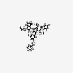 CC(C)(C)OC(=O)N[C@@H](Cc1ccccc1)[C@@H](O)C[C@@H](Cc1cccc(OCCN2CCOCC2)c1)C(=O)N[C@H]1c2ccccc2[C@@H](O)[C@H]1O.O